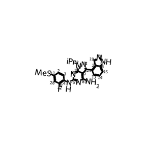 CSc1ccc(Nc2nc(N)c3c(-c4cccc5[nH]ncc45)nn(C(C)C)c3n2)c(F)c1